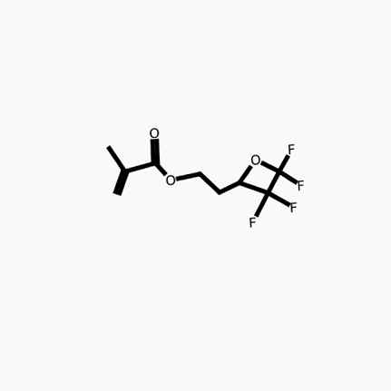 C=C(C)C(=O)OCCC1OC(F)(F)C1(F)F